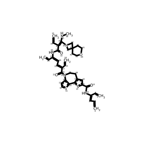 C=C/C=C(\C=C)NC(=O)c1cc2c(s1)-c1sccc1N(C(=O)/C(C=C)=C/C=C(\C=C)NC(=O)/C(C=C)=C(/NC)N1CC3(CCOCC3)C1)CC2